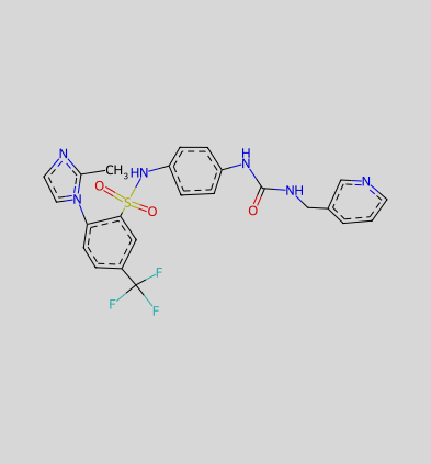 Cc1nccn1-c1ccc(C(F)(F)F)cc1S(=O)(=O)Nc1ccc(NC(=O)NCc2cccnc2)cc1